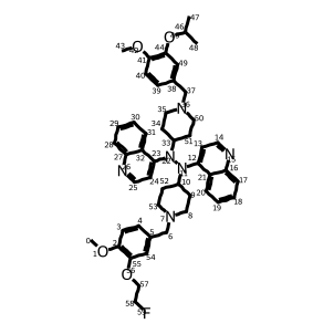 COc1ccc(CN2CCC(N(c3ccnc4ccccc34)N(c3ccnc4ccccc34)C3CCN(Cc4ccc(OC)c(OC(C)C)c4)CC3)CC2)cc1OCCF